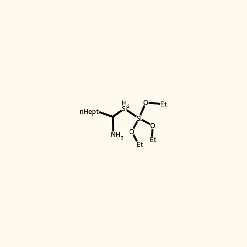 CCCCCCCC(N)[SiH2][Si](OCC)(OCC)OCC